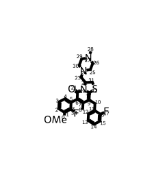 COc1cccc(-c2c(C)c(Cc3ccccc3F)c3n(c2=O)C(CN2CCN(C)CC2)CS3)c1F